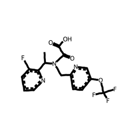 CC(c1ncccc1F)N(Cc1ccc(OC(F)(F)F)cn1)C(=O)C(=O)O